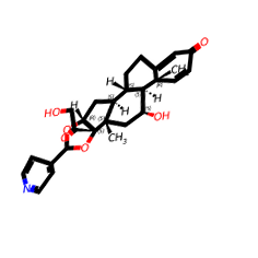 C[C@]12C=CC(=O)C=C1CC[C@@H]1[C@@H]2[C@@H](O)C[C@@]2(C)[C@H]1C[C@H]1OC(c3ccncc3)O[C@]12C(=O)CO